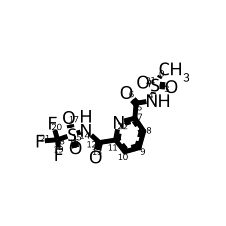 CS(=O)(=O)NC(=O)c1cccc(C(=O)NS(=O)(=O)C(F)(F)F)n1